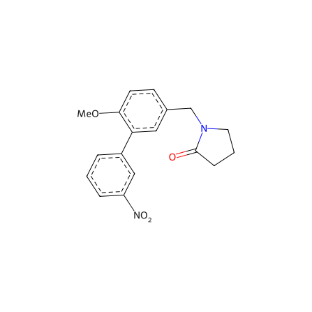 COc1ccc(CN2CCCC2=O)cc1-c1cccc([N+](=O)[O-])c1